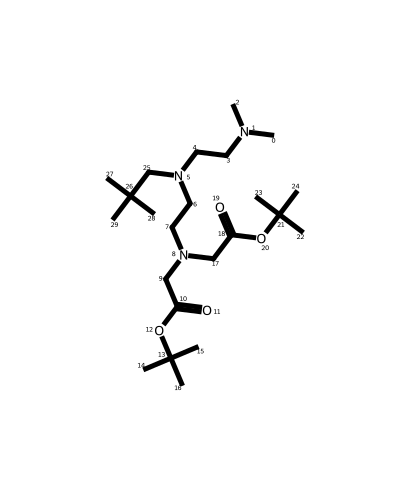 CN(C)CCN(CCN(CC(=O)OC(C)(C)C)CC(=O)OC(C)(C)C)CC(C)(C)C